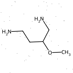 COC(CN)CCN